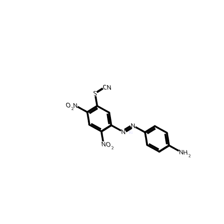 N#CSc1cc(/N=N/c2ccc(N)cc2)c([N+](=O)[O-])cc1[N+](=O)[O-]